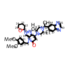 CC[C@@H]1CN(c2cc(=O)n(Cc3ccc(OC)c(OC)c3)c3cn(C4CCCCO4)nc23)[C@@H](C)CN1C(C)c1ccc2nccnc2c1